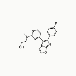 CN(CCO)c1nccc(-c2c(-c3ccc(F)cc3)nc3occn23)n1